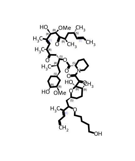 C=C/C=C(\C)C(C[C@@H]1CC[C@@H](C)[C@](O)(C(=O)C(=O)N2CCCC[C@H]2C(=O)O[C@@H](CC(=O)[C@H](C)/C=C(\C)[C@@H](O)[C@@H](OC)C(=O)[C@H](C)C[C@H](C)/C=C/C)[C@H](C)C[C@@H]2CC[C@@H](O)[C@H](OC)C2)O1)OCCCCCO